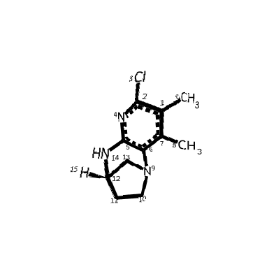 Cc1c(Cl)nc2c(c1C)N1CC[C@@H](C1)N2